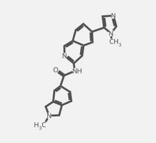 CN1Cc2ccc(C(=O)Nc3cc4cc(-c5cncn5C)ccc4cn3)cc2C1